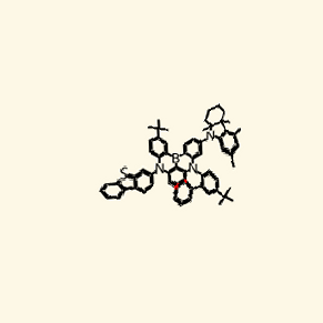 Cc1cc2c3c(c1)N(c1ccc(C(C)(C)C)cc1-c1ccccc1)c1cc(N4c5cc(C)cc(C)c5C5(C)CCCCC45C)ccc1B3c1cc(C(C)(C)C)ccc1N2c1ccc2c(c1)sc1ccccc12